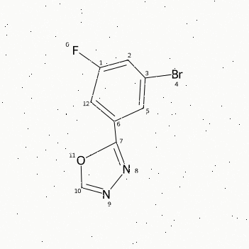 Fc1cc(Br)cc(-c2nnco2)c1